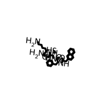 NCCCCC(NC(=O)[C@H](CS)NC(=O)C(Cc1ccccc1)NC(=O)Cc1ccc2ccccc2c1)C(N)=O